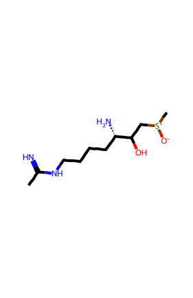 CC(=N)NCCCC[C@H](N)C(O)C[S+](C)[O-]